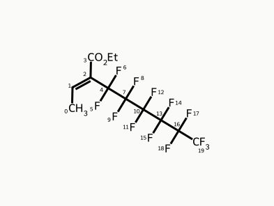 CC=C(C(=O)OCC)C(F)(F)C(F)(F)C(F)(F)C(F)(F)C(F)(F)C(F)(F)F